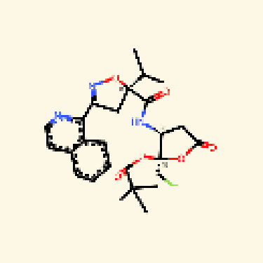 CC(C)[C@@]1(C(=O)N[C@H]2CC(=O)O[C@@]2(CF)OC(=O)C(C)(C)C)CC(c2nccc3ccccc23)=NO1